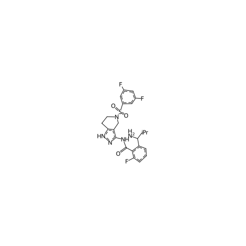 CC(C)C(N)c1cccc(F)c1C(=O)Nc1n[nH]c2c1CN(S(=O)(=O)c1cc(F)cc(F)c1)CC2